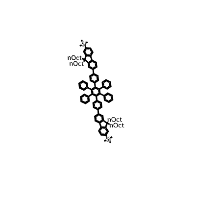 CCCCCCCCC1(CCCCCCCC)c2cc(-c3ccc(-c4c(-c5ccccc5)c(-c5ccccc5)c(-c5ccc(-c6ccc7c(c6)C(CCCCCCCC)(CCCCCCCC)c6cc([Si](C)(C)C)ccc6-7)cc5)c(-c5ccccc5)c4-c4ccccc4)cc3)ccc2-c2ccc([Si](C)(C)C)cc21